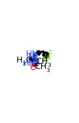 Cc1nc(N[C@H]2C[C@H](Cc3cc(F)c(F)c(F)c3)C2)nc2c1NC(=O)[C@H](C)N2C